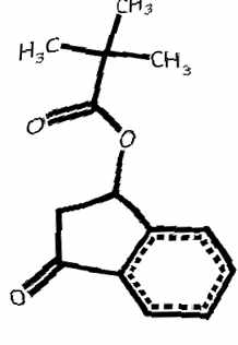 CC(C)(C)C(=O)OC1CC(=O)c2ccccc21